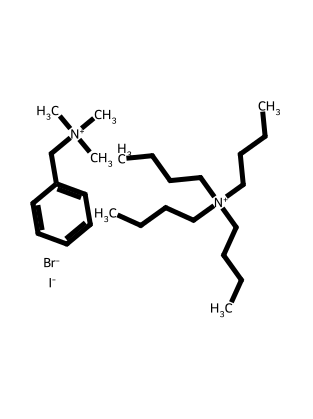 CCCC[N+](CCCC)(CCCC)CCCC.C[N+](C)(C)Cc1ccccc1.[Br-].[I-]